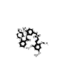 COc1cc(OC)c(/C=C/S(=O)(=O)Cc2ccc(OC)c(NC(=O)c3ccccc3N3CCN(C)CC3)c2)c(OC)c1